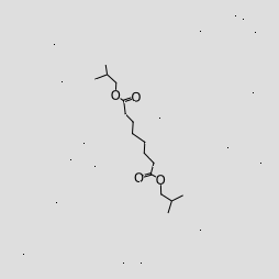 CC(C)COC(=O)CCCCCCC(=O)OCC(C)C